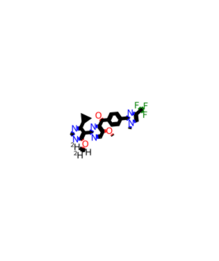 [2H]C([2H])([2H])Oc1ncnc(C2CC2)c1-c1ncc(OC)c(C(=O)c2ccc(-c3nc(C(F)(F)F)cn3C)cc2)n1